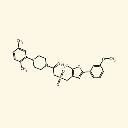 COc1cccc(-c2nc(CS(=O)(=O)CC(=O)N3CCN(c4cc(C)ccc4C)CC3)c(C)o2)c1